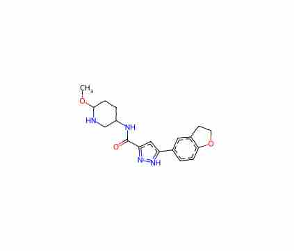 COC1CCC(NC(=O)c2cc(-c3ccc4c(c3)CCO4)[nH]n2)CN1